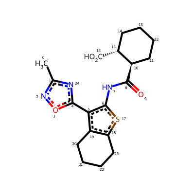 Cc1noc(-c2c(NC(=O)[C@@H]3CCCC[C@H]3C(=O)O)sc3c2CCCC3)n1